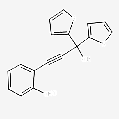 O=Cc1ccccc1C#CC(O)(c1cccs1)c1cccs1